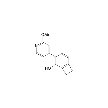 COc1cc(-c2ccc3c(c2O)CC3)ccn1